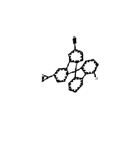 N#Cc1ccc2c(c1)-c1cc(C3C=N3)ccc1C21c2ccccc2-c2c(Br)cccc21